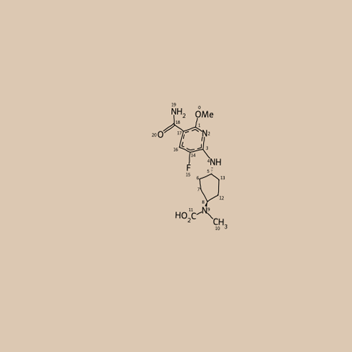 COc1nc(N[C@H]2CC[C@H](N(C)C(=O)O)CC2)c(F)cc1C(N)=O